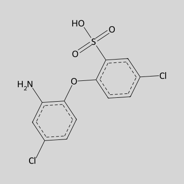 Nc1cc(Cl)ccc1Oc1ccc(Cl)cc1S(=O)(=O)O